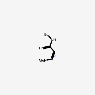 CCC(C)NC(=N)/C=C\NC